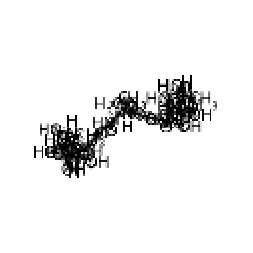 CC(=O)NC(CC(=O)O)C(=O)NC(CC(=O)O)C(=O)NC(CC(=O)O)C(=O)NC(CC(=O)O)C(=O)NCCOCCOCC(=O)NCCCCC(NC(=O)COCCOCCNC(=O)C(CC(=O)O)NC(=O)C(CC(=O)O)NC(=O)C(CC(=O)O)NC(=O)C(CC(=O)O)NC(C)=O)C(=O)C(C)C